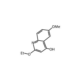 CCOc1cc(O)c2cc(OC)ccc2n1